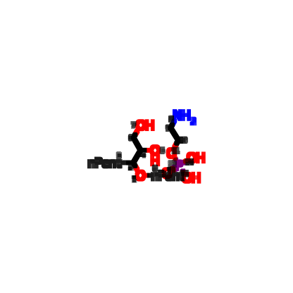 CCCCCOC(CCCCC)C(O)CO.NCCOP(=O)(O)O